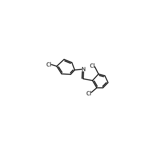 Clc1ccc(N=Cc2c(Cl)cccc2Cl)cc1